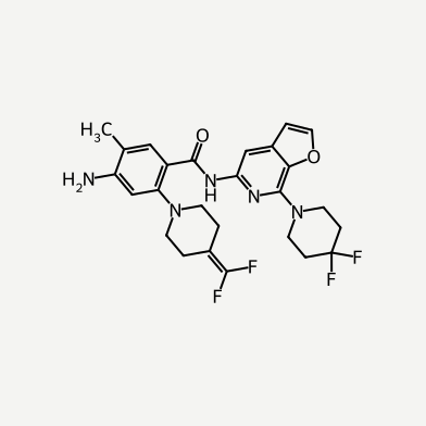 Cc1cc(C(=O)Nc2cc3ccoc3c(N3CCC(F)(F)CC3)n2)c(N2CCC(=C(F)F)CC2)cc1N